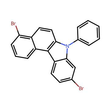 Brc1ccc2c3c4cccc(Br)c4ccc3n(-c3ccccc3)c2c1